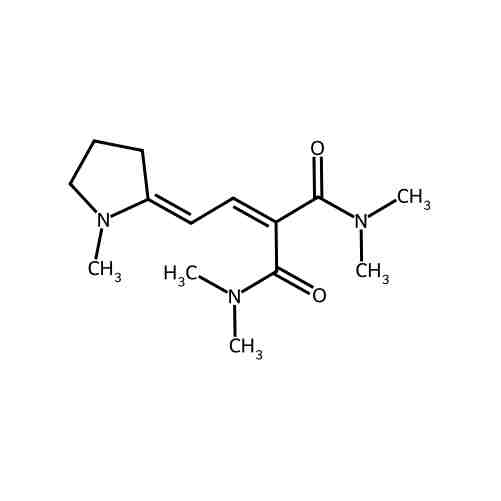 CN(C)C(=O)C(=C/C=C1\CCCN1C)C(=O)N(C)C